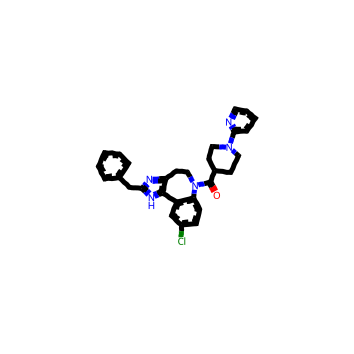 O=C(C1CCN(c2ccccn2)CC1)N1CCc2nc(Cc3ccccc3)[nH]c2-c2cc(Cl)ccc21